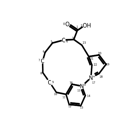 O=C(O)C1CCCCCCCc2ccc[n+](c2)-[n+]2cccc(c2)C1